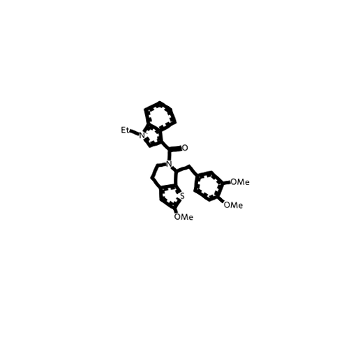 CCn1cc(C(=O)N2CCc3cc(OC)sc3C2Cc2ccc(OC)c(OC)c2)c2ccccc21